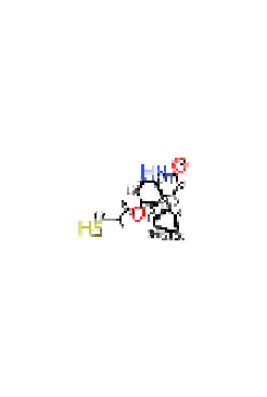 O=C1CCc2cc(OCCCS)ccc2N1.c1ccccc1